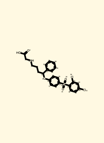 O=C(O)CNCCCC(Oc1ccc(S(=O)(=O)c2ccc(Cl)cc2Cl)cc1)c1ccccc1